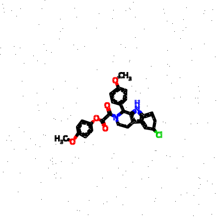 COc1ccc(OC(=O)C(=O)N2CCc3c([nH]c4c3=CC(Cl)CC=4)C2c2ccc(OC)cc2)cc1